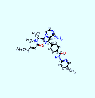 COC/C=C/C(=O)N(C)C(C)c1nc(-c2ccc(C(=O)Nc3ccc(C)cn3)cc2)c2c(N)nccn12